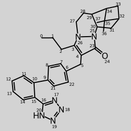 CCCc1c(Cc2ccc(-c3ccccc3-c3nnn[nH]3)cc2)c(=O)n2n1CCC1C2CC2CC1C2(C)C